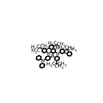 Cc1cc2c3c(c1)N(c1ccc(C(C)(C)C)cc1-c1ccc(C(C)(C)C)cc1)c1cc(N(c4ccccc4)c4ccccc4)ccc1B3c1cc(C(C)(C)C)ccc1N2c1ccc2c(c1)-c1ccccc1C2(C)C